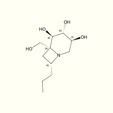 CCC[C@@H]1C[C@@]2(CO)[C@@H](O)[C@H](O)[C@@H](O)CN12